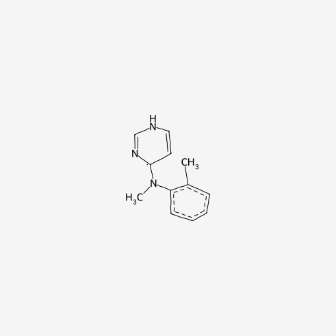 Cc1ccccc1N(C)[C]1C=CNC=N1